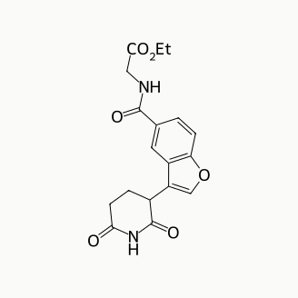 CCOC(=O)CNC(=O)c1ccc2occ(C3CCC(=O)NC3=O)c2c1